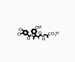 Cc1c([C@H](C)C(=O)NCC(C)C(=O)O)c2cc(O)ccc2n1C(=O)c1ccc(Cl)c(Cl)c1